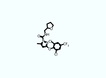 Cc1cc(Oc2c(Cl)cc(C(F)(F)F)cc2Cl)nn1C(=O)NCC1CCCO1